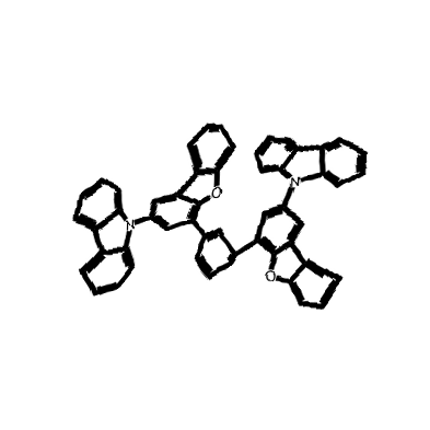 c1cc(-c2cc(-n3c4ccccc4c4ccccc43)cc3c2oc2ccccc23)cc(-c2cc(-n3c4ccccc4c4ccccc43)cc3c2oc2ccccc23)c1